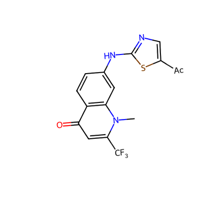 CC(=O)c1cnc(Nc2ccc3c(=O)cc(C(F)(F)F)n(C)c3c2)s1